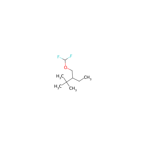 CCC(COC(F)F)C(C)(C)C